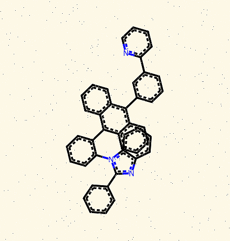 c1ccc(-c2nc3ccccc3n2-c2ccccc2-c2c3ccccc3c(-c3cccc(-c4ccccn4)c3)c3ccccc23)cc1